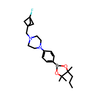 CCCC1(C)OB(c2ccc(N3CCN(CC45CC(F)(C4)C5)CC3)cc2)OC1(C)C